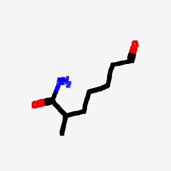 CC(CCCCC=O)C(N)=O